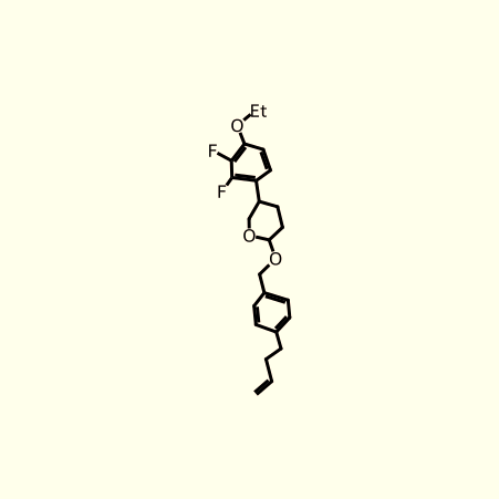 C=CCCc1ccc(COC2CCC(c3ccc(OCC)c(F)c3F)CO2)cc1